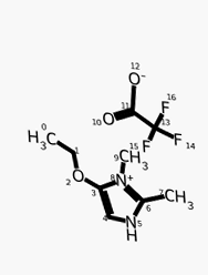 CCOc1c[nH]c(C)[n+]1C.O=C([O-])C(F)(F)F